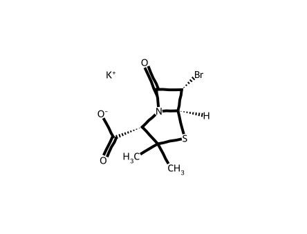 CC1(C)S[C@@H]2[C@@H](Br)C(=O)N2[C@H]1C(=O)[O-].[K+]